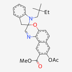 CCC(C)(C)CN1c2ccccc2CC12C=Nc1c(ccc3cc(OC(C)=O)c(C(=O)OC)cc13)O2